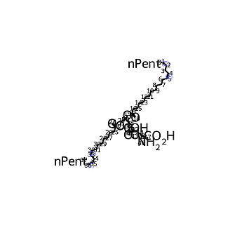 CCCCC/C=C\C/C=C\CCCCCCCCCCCC(=O)O[C@H](COC(=O)CCCCCCC/C=C\C/C=C\CCCCC)COP(=O)(O)OC[C@H](N)C(=O)O